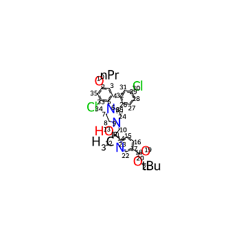 CCCOc1ccc(N2CCN(C[C@@](C)(O)c3ccc(C(=O)OC(C)(C)C)cn3)C[C@H]2c2ccc(Cl)cc2)c(Cl)c1